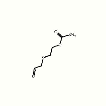 NC(=O)OCCSCC=O